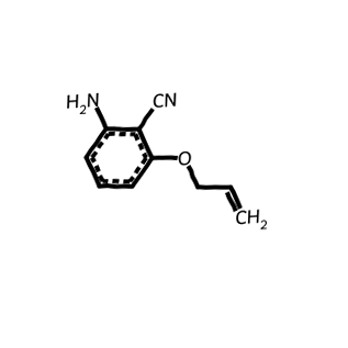 C=CCOc1cccc(N)c1C#N